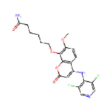 COc1ccc2c(Nc3c(Cl)cncc3Cl)cc(=O)oc2c1OCCCCCC(N)=O